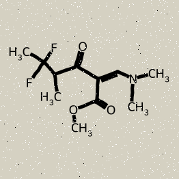 COC(=O)/C(=C\N(C)C)C(=O)C(C)C(C)(F)F